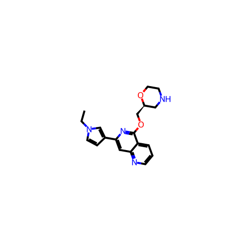 CCn1ccc(-c2cc3ncccc3c(OC[C@@H]3CNCCO3)n2)c1